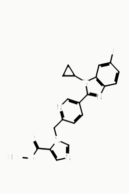 COC(=O)c1cncn1Cc1ccc(-c2nc3ccc(I)cc3n2C2CC2)cn1